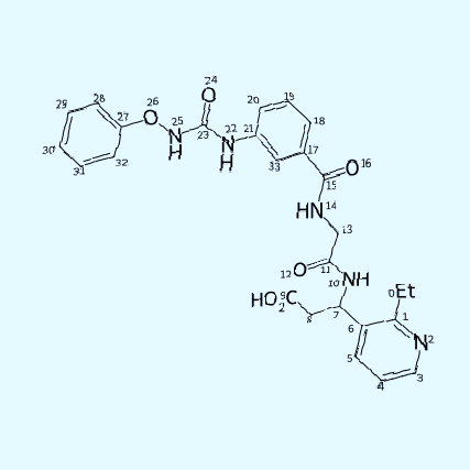 CCc1ncccc1C(CC(=O)O)NC(=O)CNC(=O)c1cccc(NC(=O)NOc2ccccc2)c1